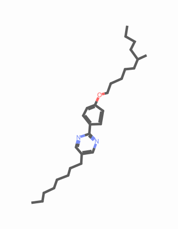 CCCCCCCCc1cnc(-c2ccc(OCCCCCC(C)CCCC)cc2)nc1